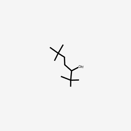 CC(C)(C)CCC(O)C(C)(C)C